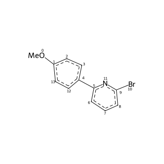 COc1ccc(-c2cccc(Br)n2)cc1